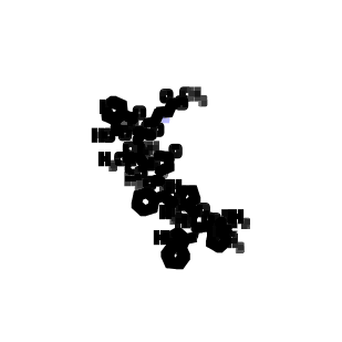 COC(=O)/C=C/CC[C@](C=O)(CN[C@H](C(=O)N1CC(=O)C[C@H]1C(=O)N[C@H](C(=O)N1CCC[C@@]1(C)C(=O)N[C@@H](Cc1c[nH]c2ccccc12)C(=O)N1CCC[C@@]1(C)C(N)=O)C1CCCCC1)C(C)(C)C)NC(=O)c1ccncc1C(=O)O